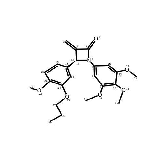 C=C1C(=O)N(c2cc(OC)c(OC)c(OC)c2)[C@H]1c1ccc(OC)c(OCCC)c1